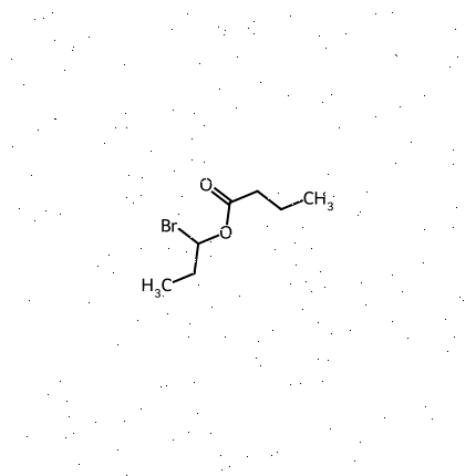 CCCC(=O)OC(Br)CC